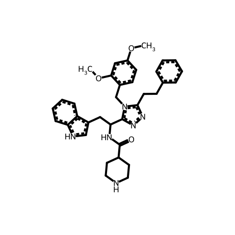 COc1ccc(Cn2c(CCc3ccccc3)nnc2C(Cc2c[nH]c3ccccc23)NC(=O)C2CCNCC2)c(OC)c1